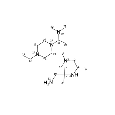 CC(CN(C)C)NC(C)(C)CN.CCN1CCN(C(C)N(C)C)CC1